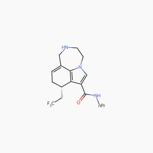 CCCNC(=O)c1cn2c3c1[C@H](CC(F)(F)F)CC=C3CNCC2